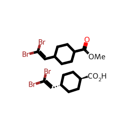 COC(=O)C1CCC(C=C(Br)Br)CC1.O=C(O)[C@H]1CC[C@H](C=C(Br)Br)CC1